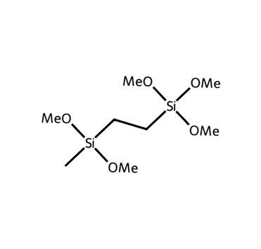 CO[Si](C)(CC[Si](OC)(OC)OC)OC